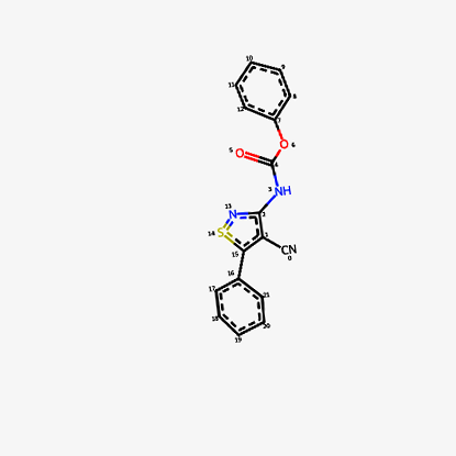 N#Cc1c(NC(=O)Oc2ccccc2)nsc1-c1ccccc1